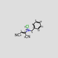 N#C/C=C(\C#N)N(Cl)Cc1ccccc1